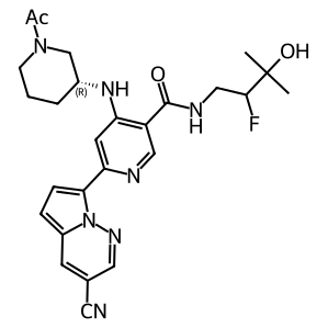 CC(=O)N1CCC[C@@H](Nc2cc(-c3ccc4cc(C#N)cnn34)ncc2C(=O)NCC(F)C(C)(C)O)C1